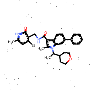 CCc1cc(C)[nH]c(=O)c1CNC(=O)c1c(C)n(C(C)C2CCOCC2)c2cc(-c3ccccc3)ccc12